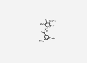 COc1cc(OC)cc(C(=O)NC[C@H]2O[C@@H](O)[C@H](NC(C)=O)C(O)[C@H]2O)c1